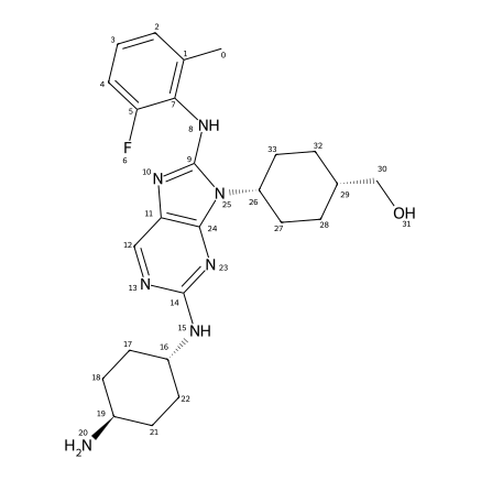 Cc1cccc(F)c1Nc1nc2cnc(N[C@H]3CC[C@H](N)CC3)nc2n1[C@H]1CC[C@@H](CO)CC1